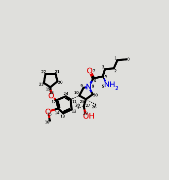 CCCC[C@@H](N)C(=O)N1C[C@@H](c2ccc(OC)c(OC3CCCC3)c2)[C@](C)([C@@H](C)O)C1